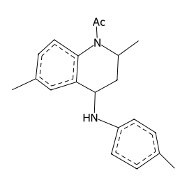 CC(=O)N1c2ccc(C)cc2C(Nc2ccc(C)cc2)CC1C